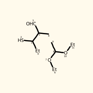 CCC(S)C(C)C=O.CCOC(C)OCC